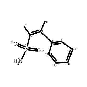 CC(=C(C)S(N)(=O)=O)c1ccccc1